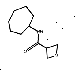 O=C(NC1CCCCCC1)C1COC1